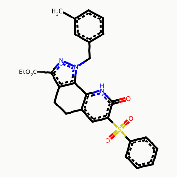 CCOC(=O)c1nn(Cc2cccc(C)c2)c2c1CCc1cc(S(=O)(=O)c3ccccc3)c(=O)[nH]c1-2